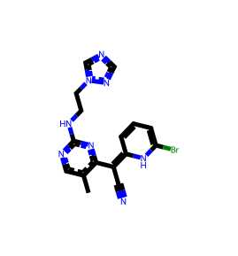 Cc1cnc(NCCn2cncn2)nc1/C(C#N)=C1\C=CC=C(Br)N1